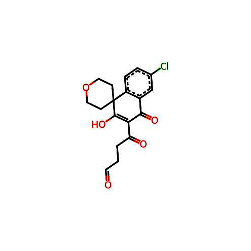 O=CCCC(=O)C1=C(O)C2(CCOCC2)c2ccc(Cl)cc2C1=O